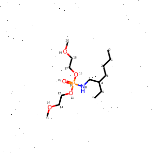 CCCCC(CC)CNP(=O)(OCCOC)OCCOC